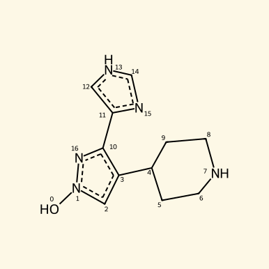 On1cc(C2CCNCC2)c(-c2c[nH]cn2)n1